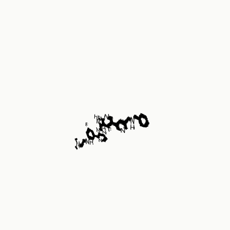 CN(C)CCNc1cc(F)cc(-c2nccc3[nH]c(-c4n[nH]c5ncc(-c6cncc(CNCc7ccccc7)c6)c(F)c45)nc23)c1